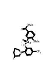 COC(=O)c1ccc(OC)c(S(=O)(=O)Nc2cc(C(F)(F)F)ccc2N2CCCC(F)C2)c1